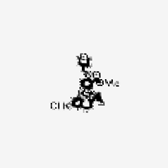 COC(=O)c1cc(S(=O)(=O)N2c3ccc(C=O)cc3CCC2C2CC2)ccc1OCC1CCOCC1